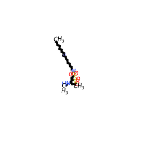 CCCCCCCC/C=C/CCCCCCC/C=N/S(=O)(=O)c1cc2c(s1)S(=O)(=O)[C@@H](C)C[C@@H]2NCC